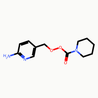 Nc1ccc(COOC(=O)N2CCCCC2)cn1